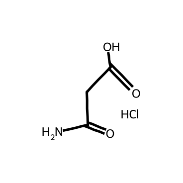 Cl.NC(=O)CC(=O)O